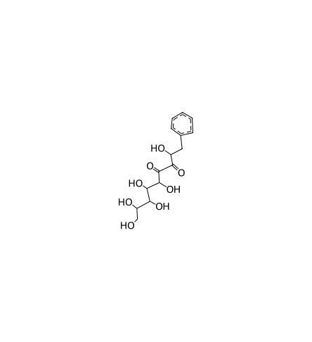 O=C(C(=O)C(O)C(O)C(O)C(O)CO)C(O)Cc1ccccc1